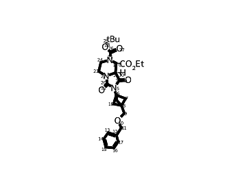 CCOC(=O)[C@@H]1[C@H]2C(=O)N(C34CC(COCc5ccccc5)(C3)C4)C(=O)N2CCN1C(=O)OC(C)(C)C